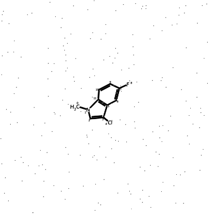 Cn1cc(Cl)c2cc(F)ccc21